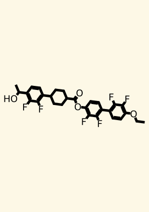 CCOc1ccc(-c2ccc(OC(=O)C3CCC(c4ccc(C(C)O)c(F)c4F)CC3)c(F)c2F)c(F)c1F